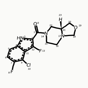 O=C(c1[nH]c2ccc(F)c(Cl)c2c1F)N1CCN2COC[C@H]2C1